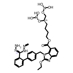 C=NN/C(=N\N)c1ccccc1-c1ccc(Cn2c(OCC)nc3cccc(C(=O)OCCCC[C@H](CON(O)O)ON(O)O)c32)cc1